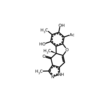 CC(=O)c1c(O)c(C)c(O)c2c1OC1=Cc3[nH]nc(C)c3C(=O)[C@@]12C